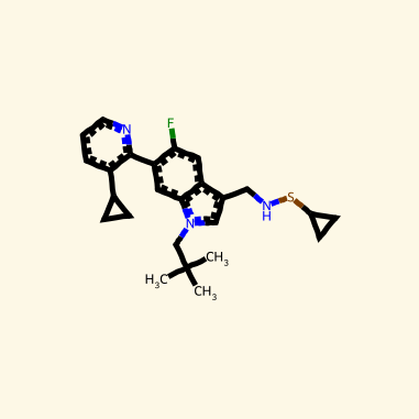 CC(C)(C)Cn1cc(CNSC2CC2)c2cc(F)c(-c3ncccc3C3CC3)cc21